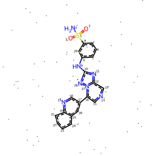 NS(=O)(=O)c1cccc(Nc2nc3cncc(-c4cnc5ccccc5c4)n3n2)c1